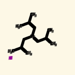 CC(C)[CH2][Sn]([CH2]C(C)C)[CH2]C(C)C.I